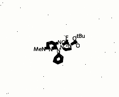 CNc1ccc([N+](=O)[O-])c(N(c2ccccc2)N2CCN(C(=O)OC(C)(C)C)C(F)C2)n1